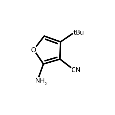 CC(C)(C)c1coc(N)c1C#N